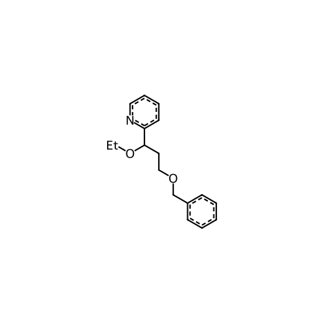 CCOC(CCOCc1ccccc1)c1ccccn1